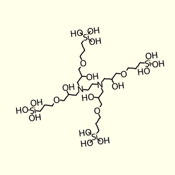 OC(COCCC[Si](O)(O)O)CN(CCN(CC(O)COCCC[Si](O)(O)O)CC(O)COCCC[Si](O)(O)O)CC(O)COCCC[Si](O)(O)O